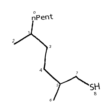 CCCCCC(C)CCC(C)CS